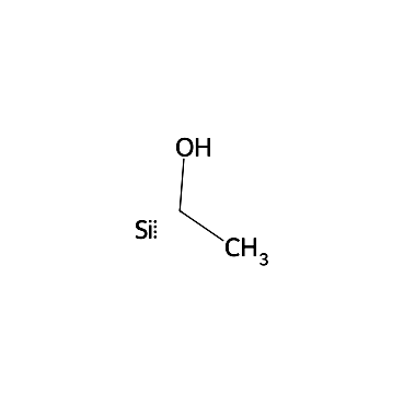 CCO.[Si]